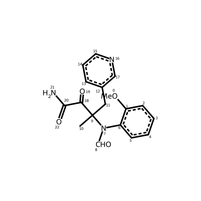 COc1ccccc1N(C=O)C(C)(Cc1cccnc1)C(=O)C(N)=O